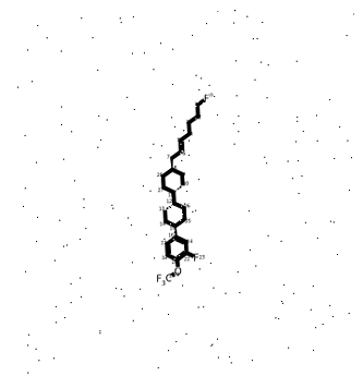 FCCCCC=CC[C@H]1CC[C@H]([C@H]2CC[C@H](c3ccc(OC(F)(F)F)c(F)c3)CC2)CC1